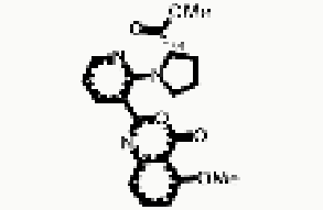 COC(=O)[C@@H]1CCCN1c1ncccc1-c1nc2cccc(OC)c2c(=O)o1